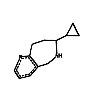 c1cnc2c(c1)CNC(C1CC1)CC2